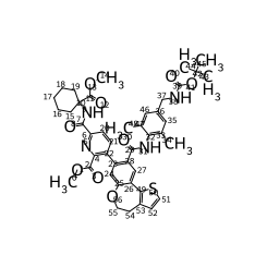 COC(=O)c1nc(C(=O)NC2(C(=O)OC)CCCCC2)ccc1-c1cc2c(cc1C(=O)Nc1c(C)cc(CNC(=O)OC(C)(C)C)cc1C)-c1sccc1CCO2